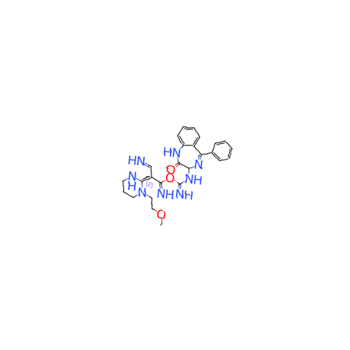 COCCN1CCCN/C1=C(\C=N)C(=N)OC(=N)NC1N=C(c2ccccc2)c2ccccc2NC1=O